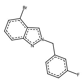 Fc1cccc(Cn2cc3c(Br)cccc3n2)c1